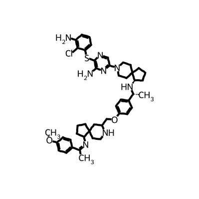 COc1ccc(/C(C)=N\C2CCCC23CCNC(COc2ccc([C@@H](C)N[C@@H]4CCCC45CCN(c4cnc(Sc6cccc(N)c6Cl)c(N)n4)CC5)cc2)C3)cc1